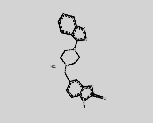 Cl.Cn1c(=O)oc2cc(CN3CCN(c4nsc5ccccc45)CC3)ccc21